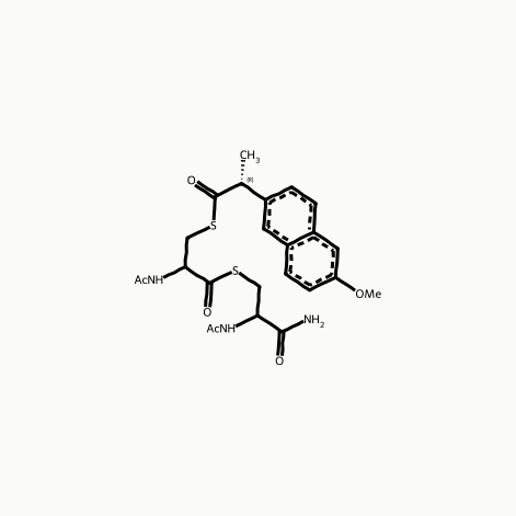 COc1ccc2cc([C@@H](C)C(=O)SCC(NC(C)=O)C(=O)SCC(NC(C)=O)C(N)=O)ccc2c1